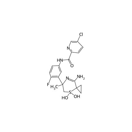 CC1(c2cc(NC(=O)c3ccc(Cl)cn3)ccc2F)CS(O)(O)C2(CC2)C(N)=N1